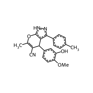 COc1ccc(C2C(C#N)=C(C)Oc3[nH]nc(-c4ccc(C)cc4)c32)cc1O